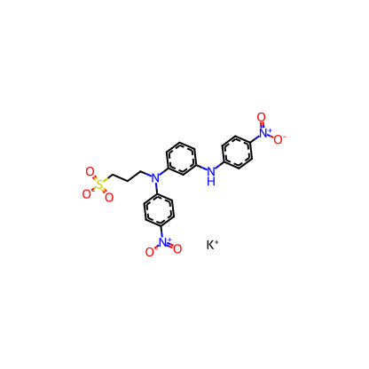 O=[N+]([O-])c1ccc(Nc2cccc(N(CCCS(=O)(=O)[O-])c3ccc([N+](=O)[O-])cc3)c2)cc1.[K+]